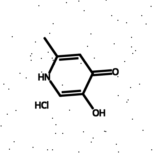 Cc1cc(=O)c(O)c[nH]1.Cl